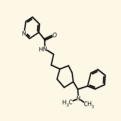 CN(C)C(c1ccccc1)C1CCC(CCNC(=O)c2cccnc2)CC1